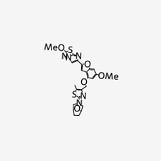 COc1cc(OCc2nc(N3CC4CCC(C3)O4)sc2C)c2cc(-c3cn4nc(OC)sc4n3)oc2c1